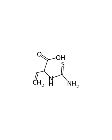 C=CC(NC(N)=S)C(=O)O